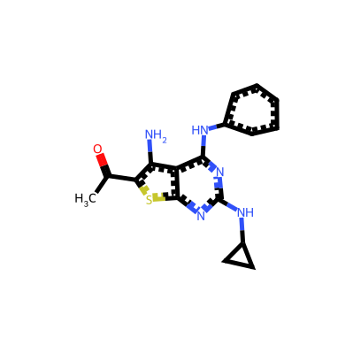 CC(=O)c1sc2nc(NC3CC3)nc(Nc3ccccc3)c2c1N